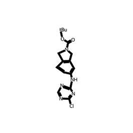 CC(C)(C)OC(=O)N1Cc2ccc(Nc3ncnc(Cl)n3)cc2C1